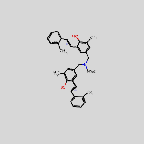 CCCCCCCCCCN(Cc1cc(C)c(O)c(/C=C/c2ccccc2C)c1)Cc1cc(C)c(O)c(/C=C/c2ccccc2C)c1